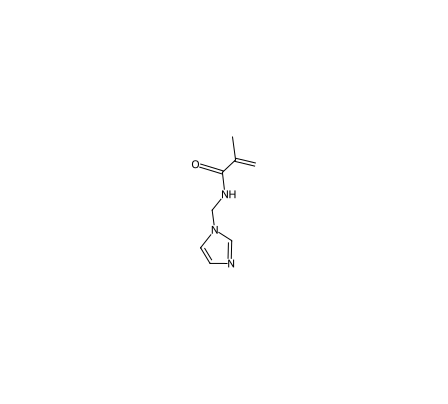 C=C(C)C(=O)NCn1ccnc1